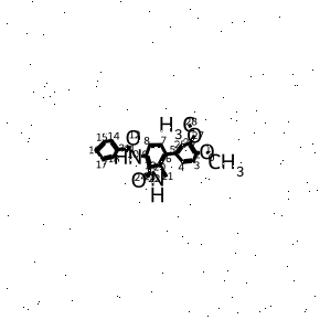 COc1ccc(-c2ccc(NC(=O)c3ccccc3)c3c2CNC3=O)cc1OC